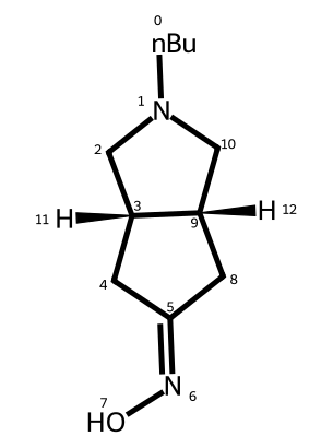 CCCCN1C[C@H]2CC(=NO)C[C@H]2C1